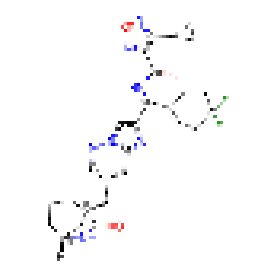 O=C(N[C@H](c1cn2ncc(C[C@]34CCC[C@H](C3)NC4=O)cc2n1)C1CCC(F)(F)CC1)c1nonc1C1CC1